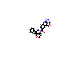 C[C@H]1OCc2c1c(N)nc1ccc(C(=O)N3C[C@H](c4ccccc4)[C@H]4COCC[C@@H]43)cc21